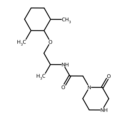 CC(COC1C(C)CCCC1C)NC(=O)CN1CCNCC1=O